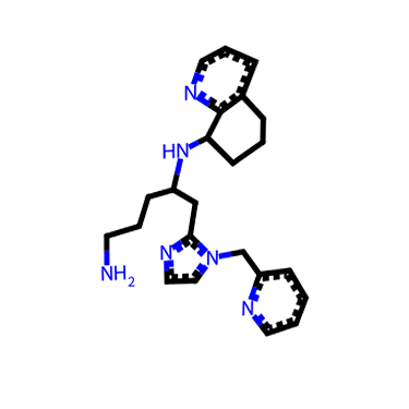 NCCCC(Cc1nccn1Cc1ccccn1)NC1CCCc2cccnc21